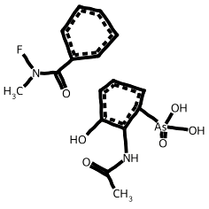 CC(=O)Nc1c(O)cccc1[As](=O)(O)O.CN(F)C(=O)c1ccccc1